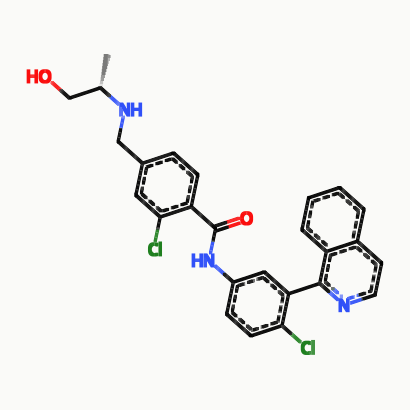 C[C@@H](CO)NCc1ccc(C(=O)Nc2ccc(Cl)c(-c3nccc4ccccc34)c2)c(Cl)c1